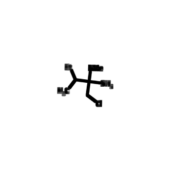 CCC(C)C([SiH3])(CCl)NC